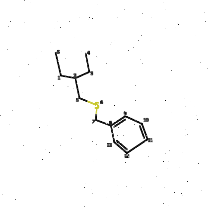 CCC(CC)CSCc1ccccc1